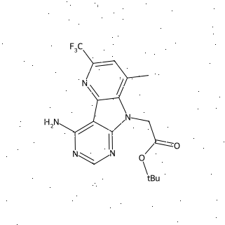 Cc1cc(C(F)(F)F)nc2c3c(N)ncnc3n(CC(=O)OC(C)(C)C)c12